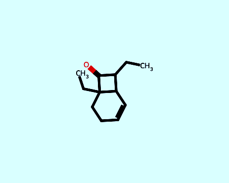 CCC1C(=O)C2(CC)CCC=CC12